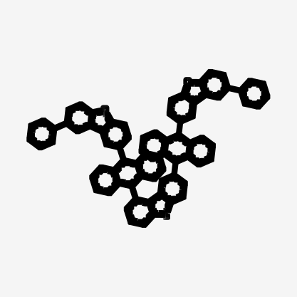 c1ccc(-c2ccc3oc4ccc(-c5c6ccccc6c(-c6ccc7sc8cccc(-c9c%10ccccc%10c(-c%10ccc%11oc%12ccc(-c%13ccccc%13)cc%12c%11c%10)c%10ccccc9%10)c8c7c6)c6ccccc56)cc4c3c2)cc1